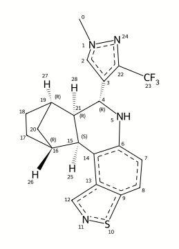 Cn1cc([C@@H]2Nc3ccc4sncc4c3[C@H]3[C@@H]4CC[C@H](C4)[C@H]32)c(C(F)(F)F)n1